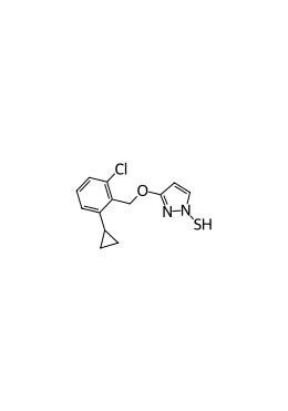 Sn1ccc(OCc2c(Cl)cccc2C2CC2)n1